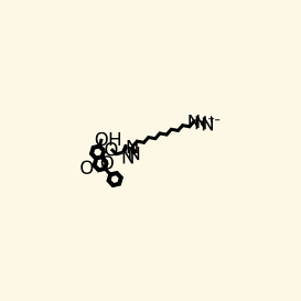 [N-]=[N+]=NCCCCCCCCCCn1cc(COc2c(O)ccc3c(=O)cc(-c4ccccc4)oc23)nn1